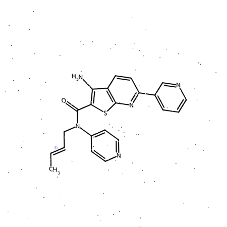 C/C=C/CN(C(=O)c1sc2nc(-c3cccnc3)ccc2c1N)c1ccncc1